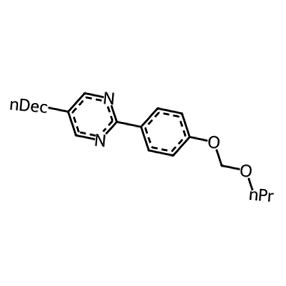 CCCCCCCCCCc1cnc(-c2ccc(OCOCCC)cc2)nc1